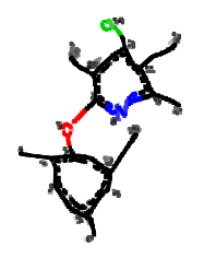 Cc1cc(C)c(Oc2nc(C)c(C)c(Cl)c2C)c(C)c1